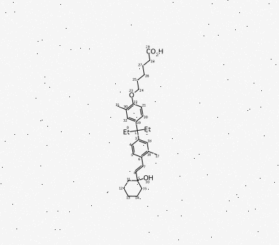 CCC(CC)(c1ccc(C=CC2(O)CCCCC2)c(C)c1)c1ccc(OCCCCCC(=O)O)c(C)c1